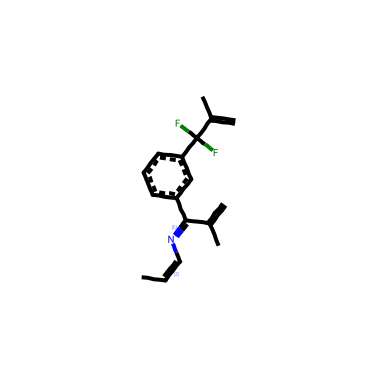 C=C(C)/C(=N\C=C/C)c1cccc(C(F)(F)C(=C)C)c1